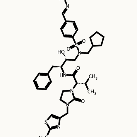 Cc1nc(CN2CCN([C@H](C(=O)N[C@@H](Cc3ccccc3)[C@H](O)CN(CC3CCCC3)S(=O)(=O)c3ccc(C=NO)cc3)C(C)C)C2=O)cs1